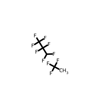 CC(F)(F)F.FC(F)C(F)(F)C(F)(F)F